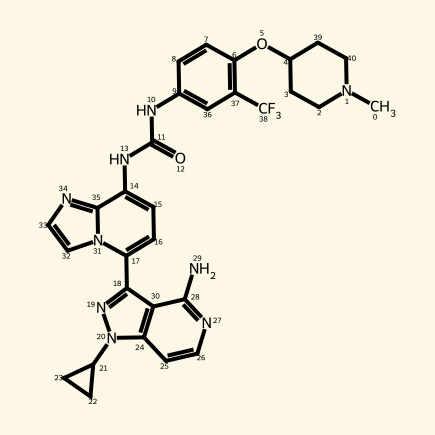 CN1CCC(Oc2ccc(NC(=O)Nc3ccc(-c4nn(C5CC5)c5ccnc(N)c45)n4ccnc34)cc2C(F)(F)F)CC1